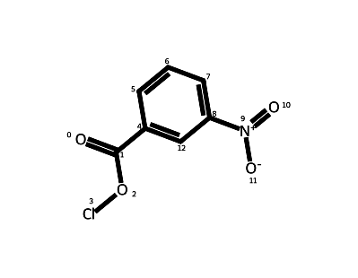 O=C(OCl)c1cccc([N+](=O)[O-])c1